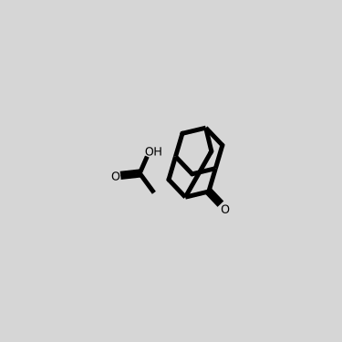 CC(=O)O.O=C1C2CC3CC(C2)CC1C3